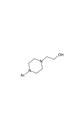 [CH2]C(=O)N1CCN(CCO)CC1